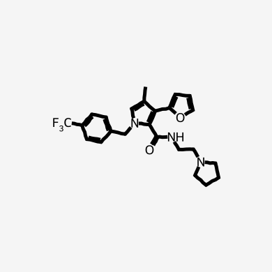 Cc1cn(Cc2ccc(C(F)(F)F)cc2)c(C(=O)NCCN2CCCC2)c1-c1ccco1